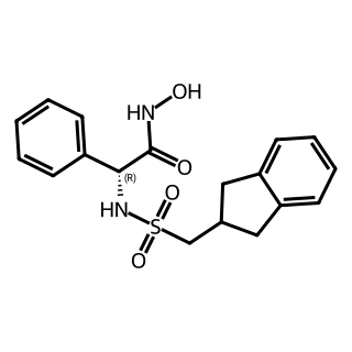 O=C(NO)[C@H](NS(=O)(=O)CC1Cc2ccccc2C1)c1ccccc1